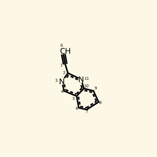 C#Cc1ncc2ccccc2n1